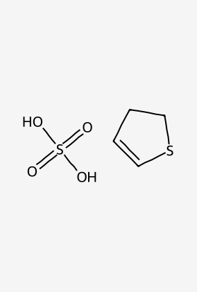 C1=CSCC1.O=S(=O)(O)O